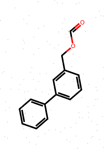 O=[C]OCc1cccc(-c2ccccc2)c1